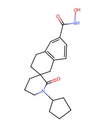 O=C(NO)c1ccc2c(c1)CCC1(CCCN(C3CCCC3)C1=O)C2